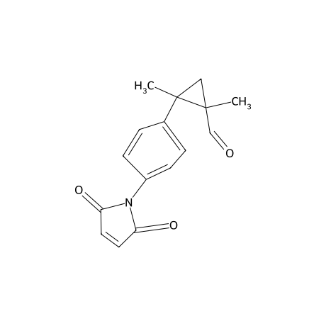 CC1(C=O)CC1(C)c1ccc(N2C(=O)C=CC2=O)cc1